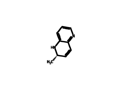 C[C@H]1C=Cc2ncccc2N1